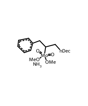 CCCCCCCCCCC[CH](Cc1ccccc1)[Mo](=[O])(=[O])([O]C)[O]C.N